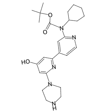 CC(C)(C)OC(=O)N(c1cc(-c2cc(O)cc(N3CCNCC3)n2)ccn1)C1CCCCC1